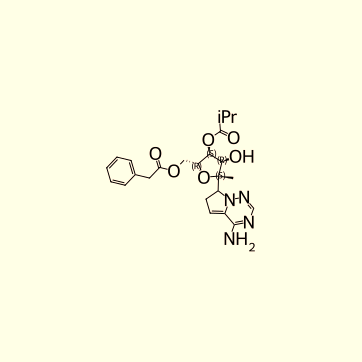 CC(C)C(=O)O[C@H]1[C@@H](O)[C@](C)(C2CC=C3C(N)=NC=NN32)O[C@@H]1COC(=O)Cc1ccccc1